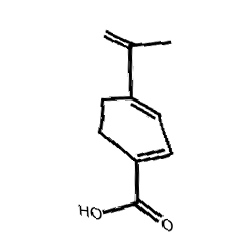 C=C(C)C1=CC=C(C(=O)O)CC1